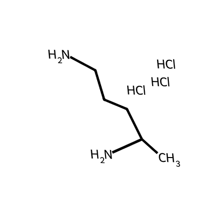 CC(N)CCCN.Cl.Cl.Cl